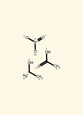 CC(=O)O.CCO.O=[N+]([O-])[O-].[Ag+]